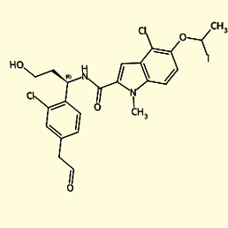 CC(I)Oc1ccc2c(cc(C(=O)N[C@H](CCO)c3ccc(CC=O)cc3Cl)n2C)c1Cl